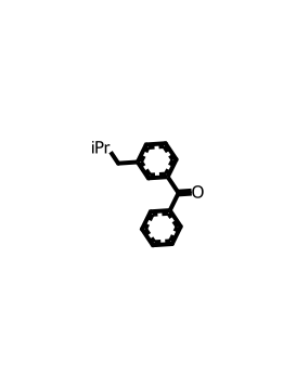 CC(C)Cc1cccc(C(=O)c2ccccc2)c1